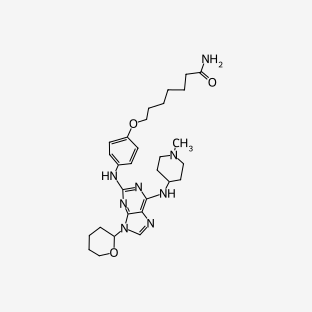 CN1CCC(Nc2nc(Nc3ccc(OCCCCCCC(N)=O)cc3)nc3c2ncn3C2CCCCO2)CC1